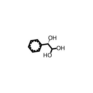 OC(O)[C@@H](O)c1ccccc1